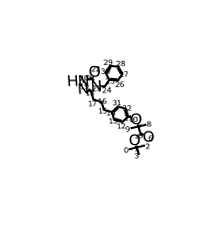 CC(C)(C)OC(=O)C(C)(C)Oc1ccc(CCCc2n[nH]c(=O)n2Cc2ccccc2)cc1